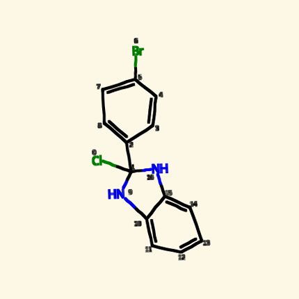 ClC1(c2ccc(Br)cc2)Nc2ccccc2N1